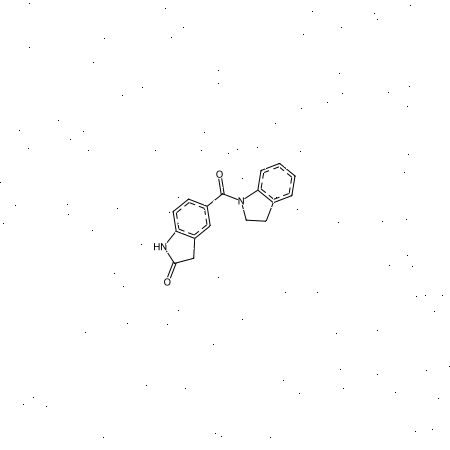 O=C1Cc2cc(C(=O)N3CCc4ccccc43)ccc2N1